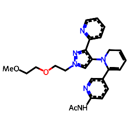 COCCOCCn1cc(N2CC=CC=C2c2ccc(NC(C)=O)nc2)c(-c2ccccn2)n1